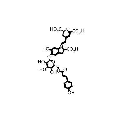 O=C(/C=C/c1ccc(O)cc1)OC[C@H]1O[C@@H](Oc2cc3c(cc2O)N(/C=C/C2=CC(C(=O)O)=N[C@H](C(=O)O)C2)C(C(=O)O)C3)[C@H](O)[C@@H](O)[C@@H]1O